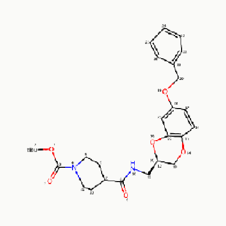 CC(C)(C)OC(=O)N1CCC(C(=O)NC[C@@H]2COc3ccc(OCc4ccccc4)cc3O2)CC1